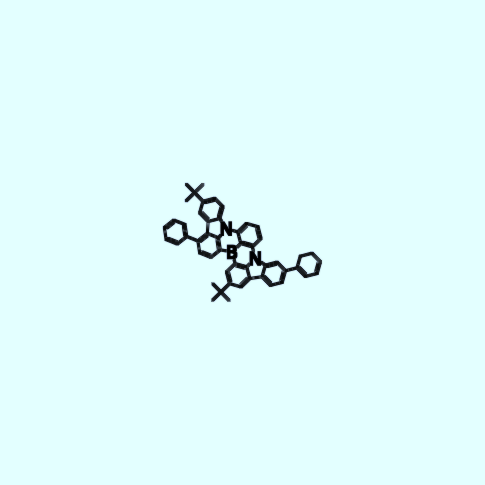 CC(C)(C)c1ccc2c(c1)c1c(-c3ccccc3)ccc3c1n2-c1cccc2c1B3c1cc(C(C)(C)C)cc3c4ccc(C5=CC=CCC5)cc4n-2c13